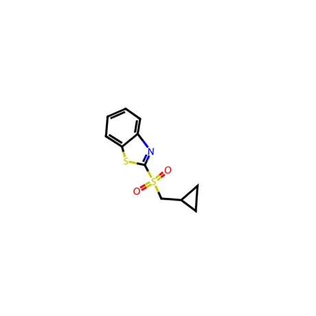 O=S(=O)(CC1CC1)c1nc2ccccc2s1